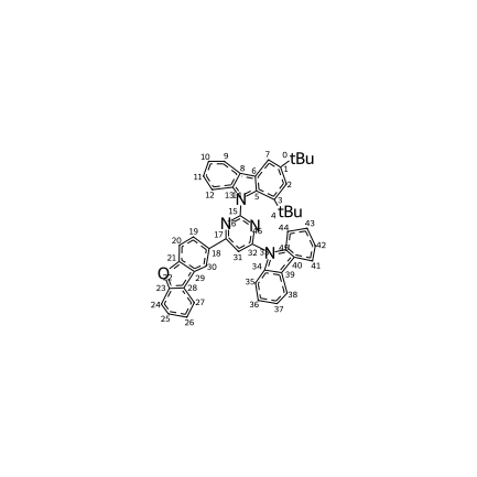 CC(C)(C)c1cc(C(C)(C)C)c2c(c1)c1ccccc1n2-c1nc(-c2ccc3oc4ccccc4c3c2)cc(-n2c3ccccc3c3ccccc32)n1